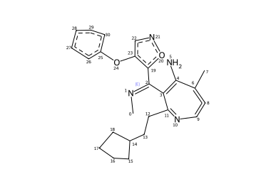 C/N=C(\C1=C(N)C(C)=C=CN=C1CCC1CCCC1)c1oncc1Oc1ccccc1